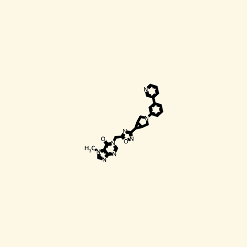 Cn1cnc2ncn(Cc3nc(C4C5CN(c6cccc(-c7cccnc7)c6)CC54)no3)c(=O)c21